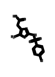 Cc1sc(NS(=O)(=O)c2ccc(Cl)cc2)nc1CC(=O)O